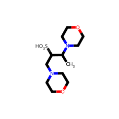 CC(C(CN1CCOCC1)S(=O)(=O)O)N1CCOCC1